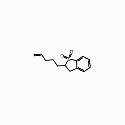 C=CCCCC1Cc2ccccc2S1(=O)=O